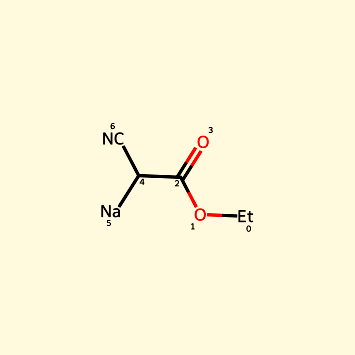 CCOC(=O)[CH]([Na])C#N